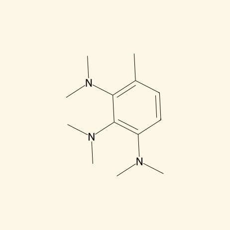 Cc1ccc(N(C)C)c(N(C)C)c1N(C)C